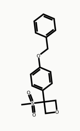 CS(=O)(=O)C1(c2ccc(OCc3ccccc3)cc2)COC1